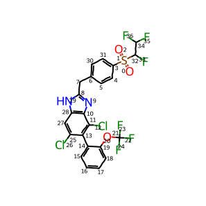 O=S(=O)(c1ccc(Cc2nc3c(Cl)c(-c4ccccc4OC(F)(F)F)c(Cl)cc3[nH]2)cc1)C(F)C(F)F